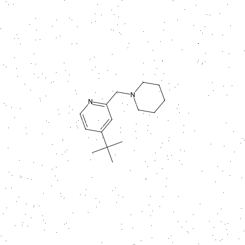 CC(C)(C)c1ccnc(CN2CCCCC2)c1